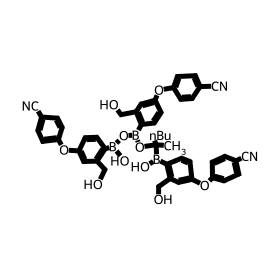 CCCCC(C)(OB(OB(O)c1ccc(Oc2ccc(C#N)cc2)cc1CO)c1ccc(Oc2ccc(C#N)cc2)cc1CO)B(O)c1ccc(Oc2ccc(C#N)cc2)cc1CO